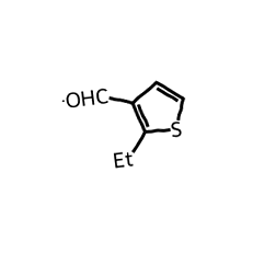 CCc1sccc1[C]=O